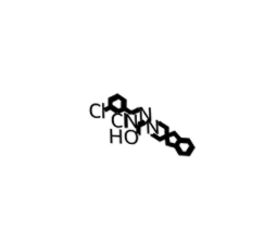 OCc1nc(-c2cccc(Cl)c2Cl)cnc1N1CCC2(CC1)Cc1ccccc1C2